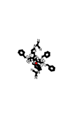 N#CC(C#N)=Nc1cc2c(s1)-c1sc3c4c(sc3c1C(C(=O)OCc1ccccc1)(C(=O)OCc1ccccc1)O2)-c1sc(N=C(C#N)C#N)cc1OC4(C(=O)OCc1ccccc1)C(=O)OCc1ccccc1